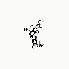 CC1(C)CC(O)=C(C(=O)NCC(=O)O)C(=O)N1Cc1ccc(Cl)c(OC(F)(F)F)c1